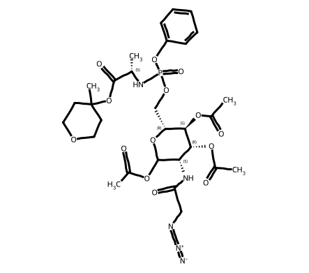 CC(=O)OC1O[C@H](COP(=O)(N[C@@H](C)C(=O)OC2(C)CCOCC2)Oc2ccccc2)[C@@H](OC(C)=O)[C@H](OC(C)=O)[C@@H]1NC(=O)CN=[N+]=[N-]